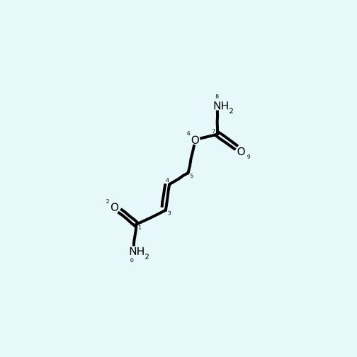 NC(=O)C=CCOC(N)=O